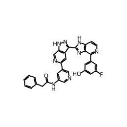 O=C(Cc1ccccc1)Nc1cncc(-c2cc3c(-c4nc5c(-c6cc(O)cc(F)c6)nccc5[nH]4)n[nH]c3cn2)c1